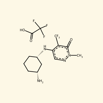 Cn1ncc(N[C@H]2CCC[C@@H](N)C2)c(C(F)(F)F)c1=O.O=C(O)C(F)(F)F